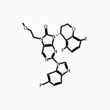 COCCn1c(=O)n([C@@H]2CCOc3c(F)ccc(F)c32)c2nc(-n3cnc4ccc(F)cc43)ncc21